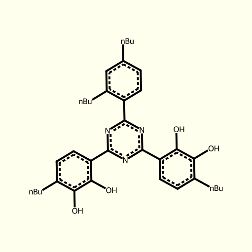 CCCCc1ccc(-c2nc(-c3ccc(CCCC)c(O)c3O)nc(-c3ccc(CCCC)c(O)c3O)n2)c(CCCC)c1